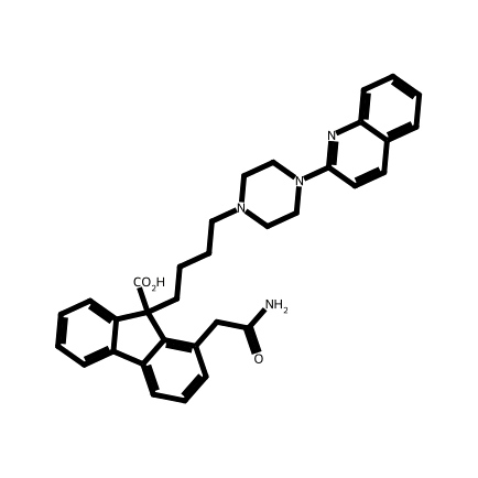 NC(=O)Cc1cccc2c1C(CCCCN1CCN(c3ccc4ccccc4n3)CC1)(C(=O)O)c1ccccc1-2